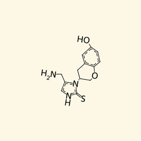 NCc1c[nH]c(=S)n1[C@H]1COc2ccc(O)cc2C1